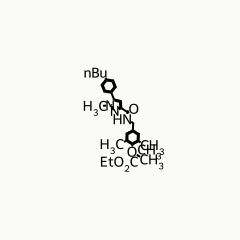 CCCCc1ccc(-c2cc(C(=O)NCc3cc(C)c(OC(C)(C)C(=O)OCC)c(C)c3)nn2C)cc1